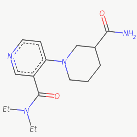 CCN(CC)C(=O)c1cnccc1N1CCCC(C(N)=O)C1